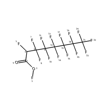 O=C(OF)C(F)C(F)(F)C(F)(F)C(F)(F)C(F)(F)C(F)(F)C(F)(F)F